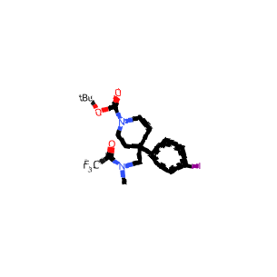 CN(CC1(c2ccc(I)cc2)CCN(C(=O)OC(C)(C)C)CC1)C(=O)C(F)(F)F